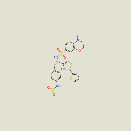 CN1CCOc2cc(S(=O)(=O)N[C@@H](Cc3ccc(N[SH](=O)=O)cc3)C3=CSC(c4cccs4)N3)ccc21